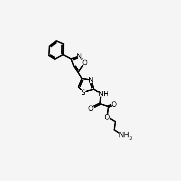 NCCOC(=O)C(=O)Nc1nc(-c2cc(-c3ccccc3)no2)cs1